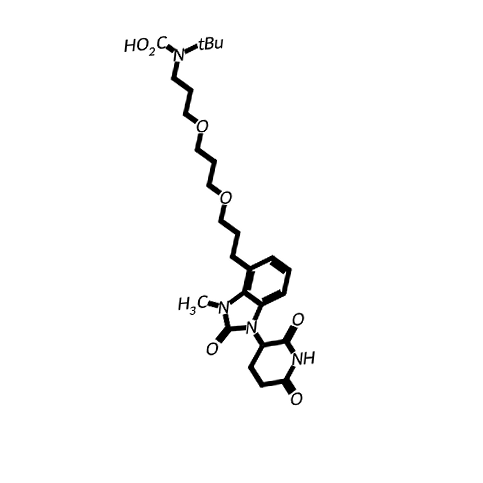 Cn1c(=O)n(C2CCC(=O)NC2=O)c2cccc(CCCOCCCOCCCN(C(=O)O)C(C)(C)C)c21